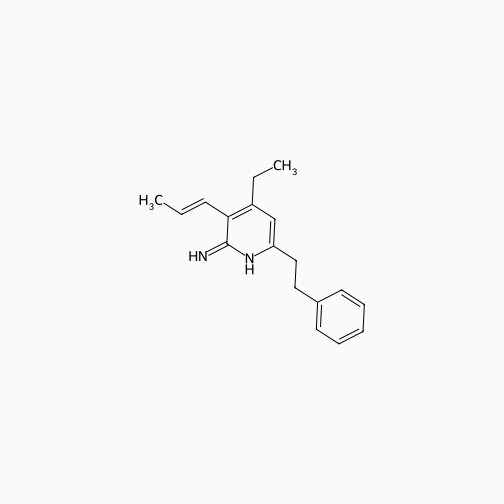 C/C=C/c1c(CC)cc(CCc2ccccc2)[nH]c1=N